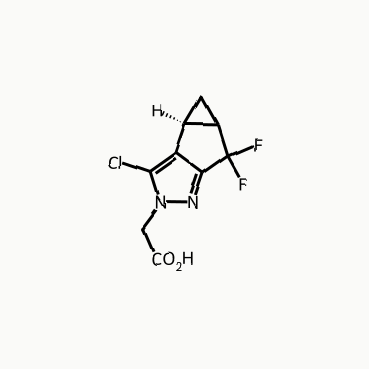 O=C(O)Cn1nc2c(c1Cl)[C@H]1CC1C2(F)F